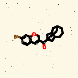 O=C(C1=Cc2ccc(Br)cc2OC1)C12CC3CCCC(C1)C(C3)C2